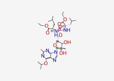 CCOC(=O)[C@H](CC(C)C)NP(=O)(N[C@H](CC(C)C)C(=O)OCC)OC[C@H]1O[C@@H](n2cnc3c(OC(C)C)nc(C)nc32)[C@@](C)(O)C1O